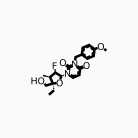 CC[C@@]1(CO)O[C@@H](n2ccc(=O)n(Cc3ccc(OC)cc3)c2=O)[C@H](F)[C@@H]1C